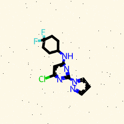 FC1(F)CCC(Nc2cc(Cl)nc(-n3cccn3)n2)CC1